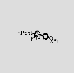 CCCCCc1cnc(-c2ccc(OCCC)cc2)nc1F